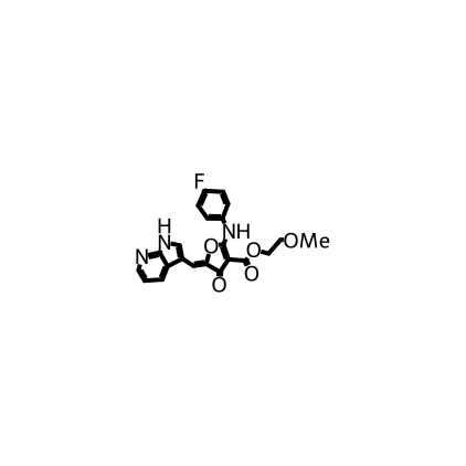 COCCOC(=O)C1=C(Nc2ccc(F)cc2)OC(=Cc2c[nH]c3ncccc23)C1=O